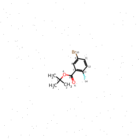 CC(C)(C)OC(=O)c1cc(Br)ccc1F